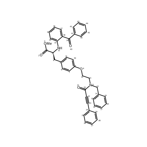 COC(=O)[C@H](Cc1ccc(OCCN(Cc2ccccc2)C(=O)C#Cc2ccccc2)cc1)Nc1ccccc1C(=O)c1ccccc1